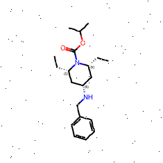 CC[C@@H]1C[C@H](NCc2ccccc2)C[C@H](CC)N1C(=O)OC(C)C